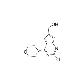 OCc1cc2c(N3CCOCC3)nc(Cl)nn2c1